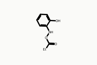 CCC(=O)ONc1ccccc1O